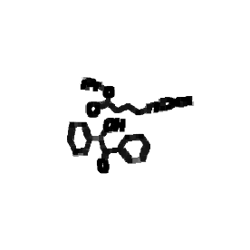 CCCCCCCCCCCCCC(=O)OC(C)C.O=C(c1ccccc1)C(O)c1ccccc1